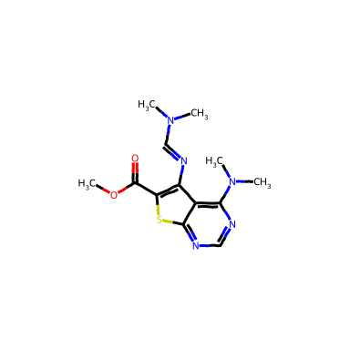 COC(=O)c1sc2ncnc(N(C)C)c2c1N=CN(C)C